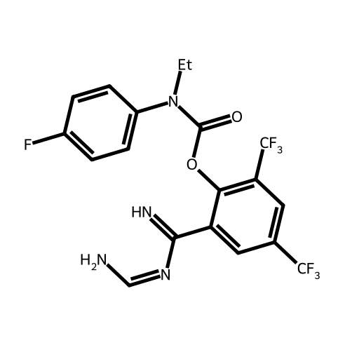 CCN(C(=O)Oc1c(C(=N)/N=C\N)cc(C(F)(F)F)cc1C(F)(F)F)c1ccc(F)cc1